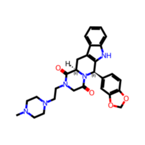 CN1CCN(CCN2CC(=O)N3[C@H](c4ccc5c(c4)OCO5)c4[nH]c5ccccc5c4C[C@@H]3C2=O)CC1